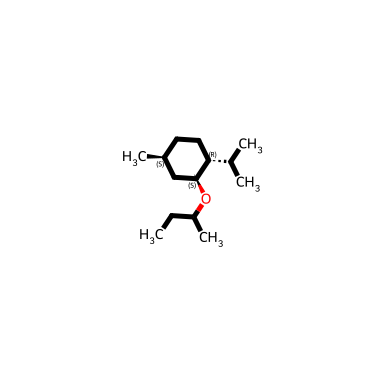 CCC(C)O[C@H]1C[C@@H](C)CC[C@@H]1C(C)C